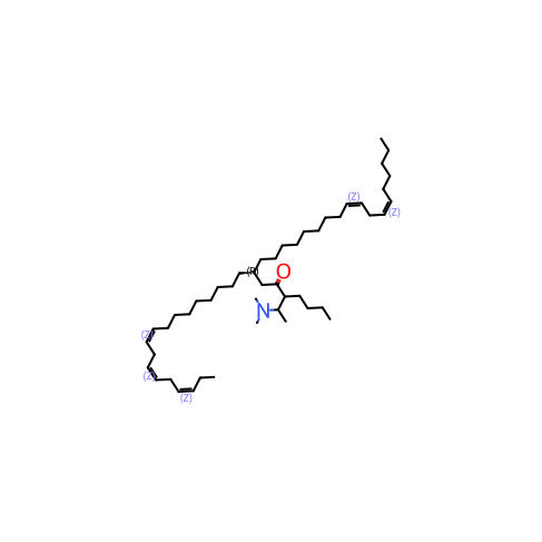 CC/C=C\C/C=C\C/C=C\CCCCCCCC[C@@H](CCCCCCCC/C=C\C/C=C\CCCCC)CC(=O)C(CCCC)C(C)N(C)C